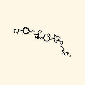 O=C(COc1ccc(C(F)(F)F)cc1)N[C@@H]1CC[C@@H](c2nnc(OCCSC(F)(F)F)o2)OC1